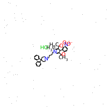 CC(=O)C1=CN(CCCCN2CCC(c3ccccc3)(c3ccccc3)CC2)C(C)=C(C(C)=O)C1c1cccc([N+](=O)[O-])c1.Cl